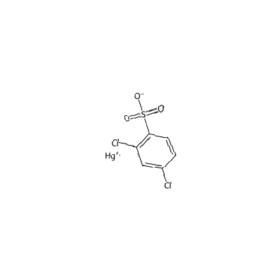 O=S(=O)([O-])c1ccc(Cl)cc1Cl.[Hg+]